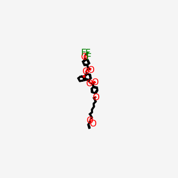 C=CC(=O)OCCCCCCCCOc1ccc(C(=O)Oc2ccc(OC(=O)c3ccc(OC(F)(F)F)cc3)c3c2C2CCC3C2)cc1